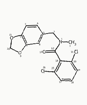 CN(Cc1ccc2c(c1)OCO2)C(=O)c1c(Cl)cccc1Cl